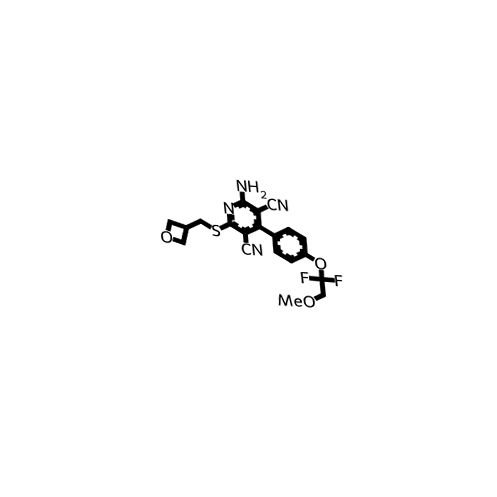 COCC(F)(F)Oc1ccc(-c2c(C#N)c(N)nc(SCC3COC3)c2C#N)cc1